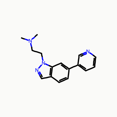 CN(C)CCn1ncc2ccc(-c3cccnc3)cc21